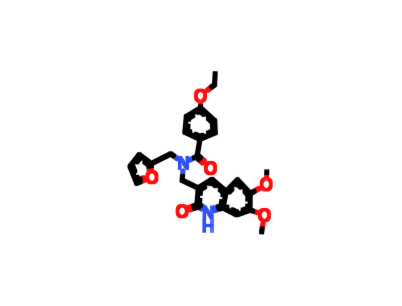 CCOc1ccc(C(=O)N(Cc2ccco2)Cc2cc3cc(OC)c(OC)cc3[nH]c2=O)cc1